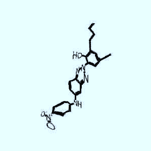 CCCCc1cc(C)cc(-n2nc3ccc(Nc4ccc([N+](=O)[O-])cc4)cc3n2)c1O